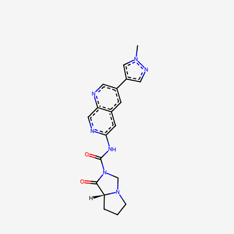 Cn1cc(-c2cnc3cnc(NC(=O)N4CN5CCC[C@@H]5C4=O)cc3c2)cn1